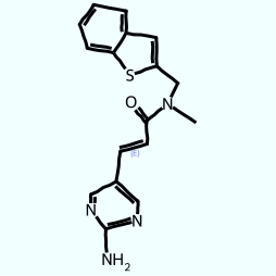 CN(Cc1cc2ccccc2s1)C(=O)/C=C/c1cnc(N)nc1